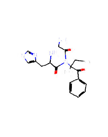 CC(C)CC(C(=O)O)(C(=O)c1ccccc1)N(C(=O)CN)C(=O)C(N)Cc1c[nH]cn1